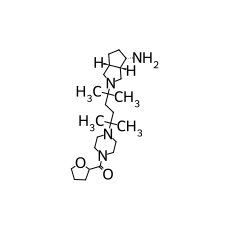 CC(C)(CCC(C)(C)N1C[C@@H]2CC[C@H](N)[C@@H]2C1)N1CCN(C(=O)C2CCCO2)CC1